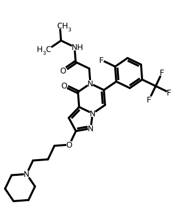 CC(C)NC(=O)Cn1c(-c2cc(C(F)(F)F)ccc2F)cn2nc(OCCCN3CCCCC3)cc2c1=O